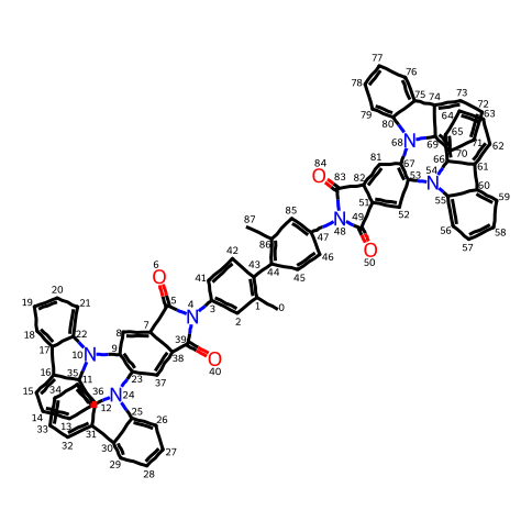 Cc1cc(N2C(=O)c3cc(-n4c5ccccc5c5ccccc54)c(-n4c5ccccc5c5ccccc54)cc3C2=O)ccc1-c1ccc(N2C(=O)c3cc(-n4c5ccccc5c5ccccc54)c(-n4c5ccccc5c5ccccc54)cc3C2=O)cc1C